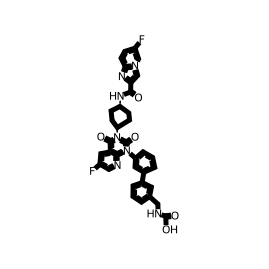 O=C(O)NCc1cccc(-c2cccc(-n3c(=O)n([C@H]4CC[C@@H](NC(=O)c5cn6cc(F)ccc6n5)CC4)c(=O)c4cc(F)cnc43)c2)c1